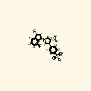 CN(C)[C@H]1CN([C@@H]2C[C@H](F)c3cccc(F)c32)C[C@@H]1c1ccc(S(C)(=O)=O)cc1